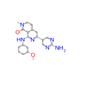 COc1cccc(Nc2nc(-c3cnc(N)nc3)cc3ccn(C)c(=O)c23)c1